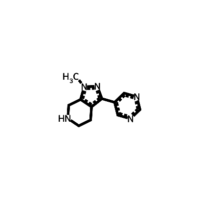 Cn1nc(-c2cncnc2)c2c1CNCC2